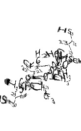 C=C[Si](C)(O[Si](C)(C)O[Si](C)(C)CCCS)O[Si](CCC(F)(F)F)(CCC(F)(F)F)O[Si](C)(C)CCCS